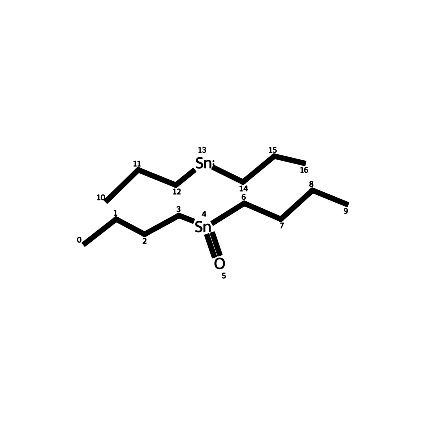 CCC[CH2][Sn](=[O])[CH2]CCC.CC[CH2][Sn][CH2]CC